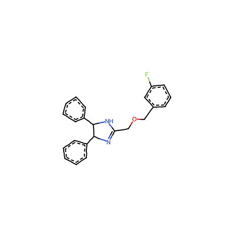 Fc1cccc(COCC2=NC(c3ccccc3)C(c3ccccc3)N2)c1